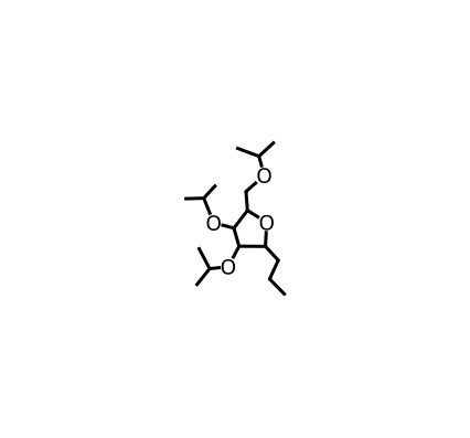 CCCC1OC(COC(C)C)C(OC(C)C)C1OC(C)C